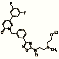 CCOCCN(C)CCN(CC)c1nc(-c2cccc(Cn3nc(-c4cc(F)cc(F)c4)ccc3=O)c2)no1